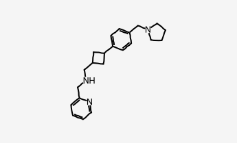 c1ccc(CNCC2CC(c3ccc(CN4CCCC4)cc3)C2)nc1